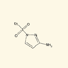 CCS(=O)(=O)n1ccc(N)n1